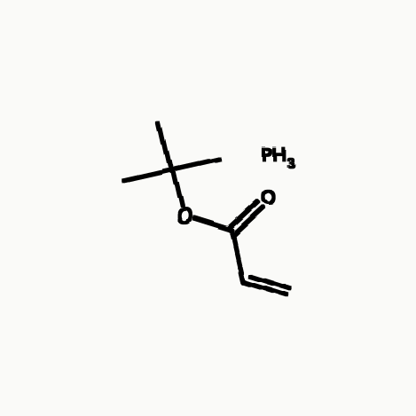 C=CC(=O)OC(C)(C)C.P